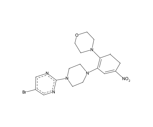 O=[N+]([O-])C1=CC(N2CCN(c3ncc(Br)cn3)CC2)=C(N2CCOCC2)[CH]C1